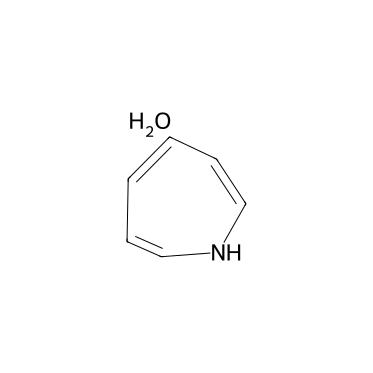 C1=CC=CNC=C1.O